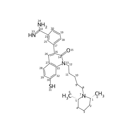 C[C@@H]1CCC[C@H](C)N1CCCCCn1c(=O)c(-c2cccc(C(=N)N)c2)cc2ccc(S)cc21